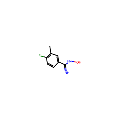 Cc1cc(C(=N)NO)ccc1F